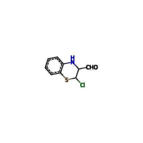 O=CC1Nc2ccccc2SC1Cl